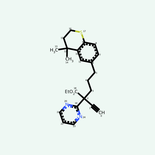 C#CC(CCCc1ccc2c(c1)C(C)(C)CCS2)(C(=O)OCC)c1ncccn1